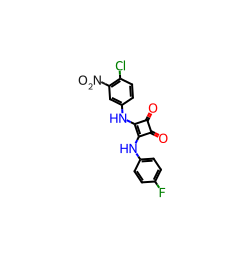 O=c1c(Nc2ccc(F)cc2)c(Nc2ccc(Cl)c([N+](=O)[O-])c2)c1=O